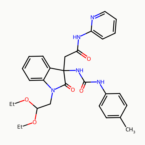 CCOC(CN1C(=O)C(CC(=O)Nc2ccccn2)(NC(=O)Nc2ccc(C)cc2)c2ccccc21)OCC